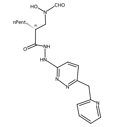 CCCCC[C@H](CN(O)C=O)C(=O)NNc1ccc(Cc2ccccn2)nn1